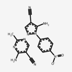 Cc1ncc(C#N)c(N)n1.N#Cc1cnn(-c2ccc([N+](=O)[O-])cc2)c1N